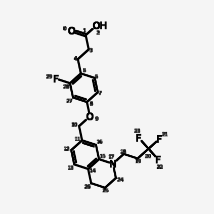 O=C(O)CCc1ccc(OCc2ccc3c(c2)N(CCC(F)(F)F)CCC3)cc1F